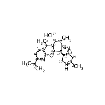 C=C(C)c1ccc(C(C)N2C[C@@H](C)n3nc4c(c3C2=O)CN[C@H](C)C4)cn1.Cl